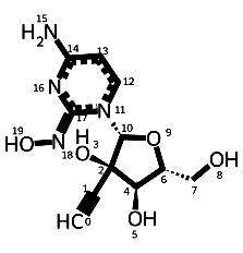 C#C[C@@]1(O)[C@H](O)[C@@H](CO)O[C@H]1n1ccc(N)n/c1=N\O